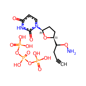 C#CCC(ON)[C@@H]1CC[C@H](n2ccc(=O)[nH]c2=O)O1.O=P(O)(O)OP(=O)(O)OP(=O)(O)O